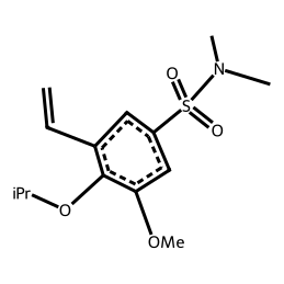 C=Cc1cc(S(=O)(=O)N(C)C)cc(OC)c1OC(C)C